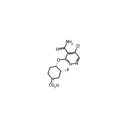 NC(=O)c1c(Cl)cnnc1O[C@H]1CCN(C(=O)O)C[C@H]1F